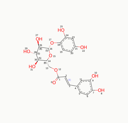 O=C(/C=C/c1ccc(O)c(O)c1)OC[C@H]1O[C@@H](Oc2ccc(O)cc2O)[C@H](O)[C@@H](O)[C@@H]1O